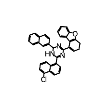 Clc1cccc2c(C3=NC(C4=CCCc5oc6ccccc6c54)=NC(c4ccc5ccccc5c4)N3)cccc12